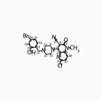 Cn1c(=O)c(C#N)c(N2CCN(Cc3ccc(Br)cc3O)CC2)c2nc(Cl)ccc21